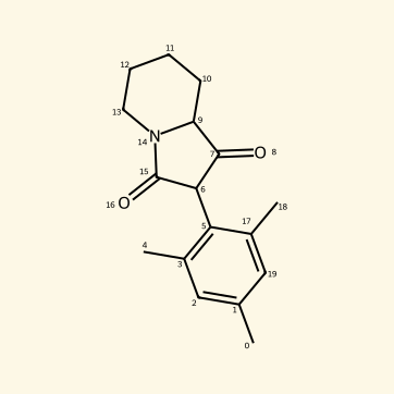 Cc1cc(C)c(C2C(=O)C3CCCCN3C2=O)c(C)c1